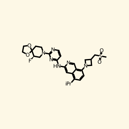 CC(C)c1ccc(N2CC(CS(C)(=O)=O)C2)c2cnc(Nc3ccnc(N4CCC5(OCCO5)[C@H](F)C4)n3)cc12